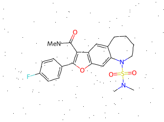 CNC(=O)c1c(-c2ccc(F)cc2)oc2cc3c(cc12)CCCCN3S(=O)(=O)N(C)C